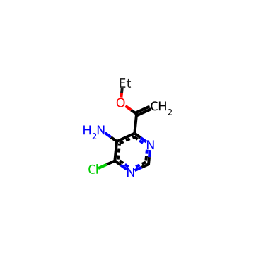 C=C(OCC)c1ncnc(Cl)c1N